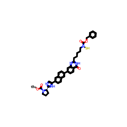 CC(C)(C)OC(=O)N1CCC[C@H]1c1ncc(-c2ccc3cc(-c4ccc5c(=O)[nH]c(CCCCCN(S)C(=O)OCc6ccccc6)nc5c4)ccc3c2)[nH]1